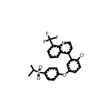 CC(C)S(=O)(=O)c1ccc(Oc2ccc(Cl)c(-c3ccnc4c(C(F)(F)F)cccc34)c2)cc1